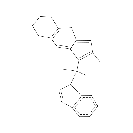 CC1=C(C(C)(C)C2C=Cc3ccccc32)C2=CC3=C(CCCC3)CC2=C1